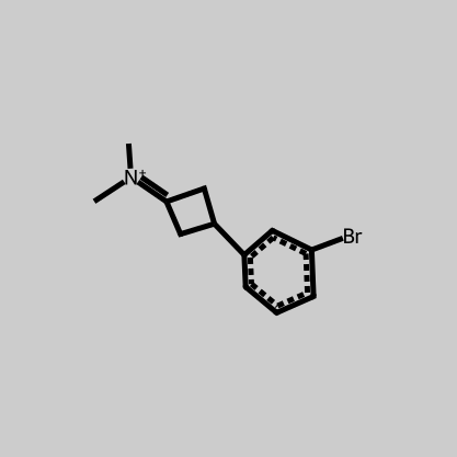 C[N+](C)=C1CC(c2cccc(Br)c2)C1